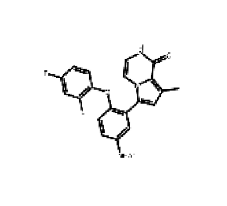 CC(=O)Nc1ccc(Oc2ccc(F)cc2F)c(-c2cc(C)c3c(=O)[nH]ccn23)c1